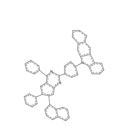 c1ccc(-c2cc3c(-c4ccccc4)nc(-c4ccc(-n5c6ccccc6c6cc7ccccc7cc65)cc4)nc3cc2-c2cccc3ccccc23)cc1